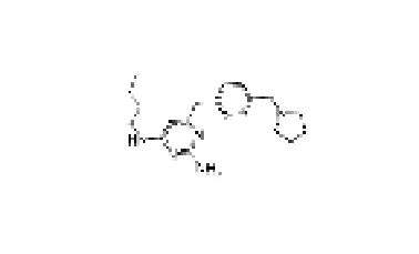 CCCC(C)Nc1cc(Cc2ccc(CN3CCCC3)cc2)nc(N)n1